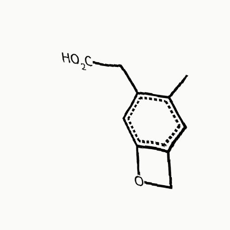 Cc1cc2c(cc1CC(=O)O)OC2